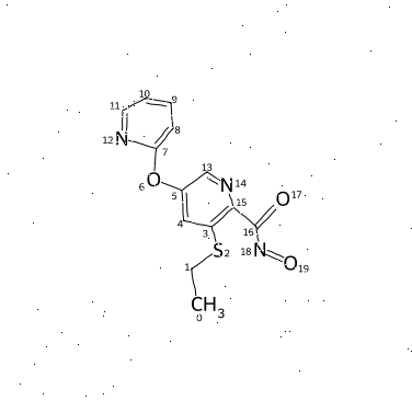 CCSc1cc(Oc2ccccn2)cnc1C(=O)N=O